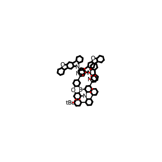 CC(C)(C)c1cc2c3c(c1)N(c1c(-c4ccccc4)cccc1-c1ccccc1)c1ccc(-c4cccc(-n5c6ccccc6c6cc7oc8ccccc8c7cc65)n4)cc1B3c1cc(-c3cc(-n4c5ccccc5c5ccccc54)cc(-n4c5ccccc5c5cc6oc7ccccc7c6cc54)n3)ccc1O2